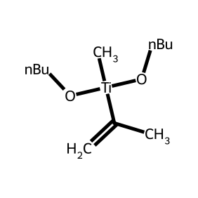 C=[C](C)[Ti]([CH3])([O]CCCC)[O]CCCC